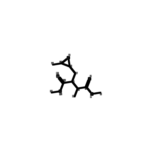 COC(=O)C(C)C(CC1OC1C)C(=O)OC